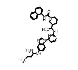 CCCC(N)Nc1ccc2c(c1)ncn2-c1ccnc(NC(C)C2CCCN(C(=O)Nc3cccc4ccccc34)C2)n1